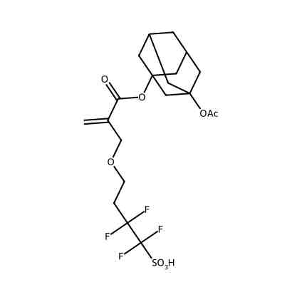 C=C(COCCC(F)(F)C(F)(F)S(=O)(=O)O)C(=O)OC12CC3CC(CC(OC(C)=O)(C3)C1)C2